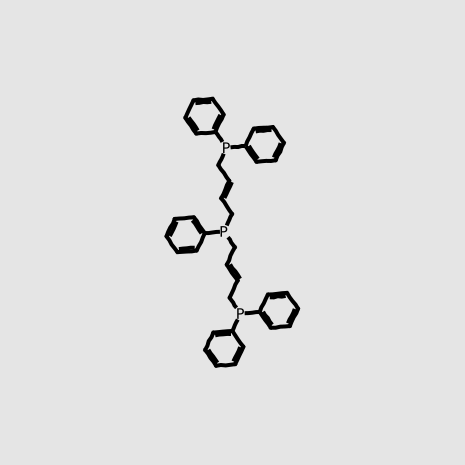 C(=CCP(c1ccccc1)c1ccccc1)CP(CC=CCP(c1ccccc1)c1ccccc1)c1ccccc1